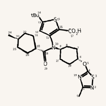 Cc1nsc(O[C@H]2CC[C@H](N(c3cc(C(C)(C)C)sc3C(=O)O)C(=O)[C@H]3CC[C@H](C)CC3)CC2)n1